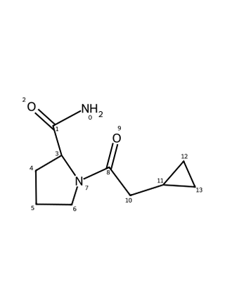 NC(=O)C1CCCN1C(=O)CC1CC1